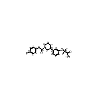 CC(C)C(=O)C(C)(C)Oc1cccc(C2CCCN(C(=O)Cc3ccc(F)cc3)C2)c1